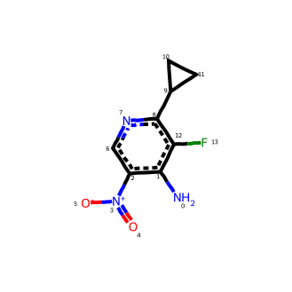 Nc1c([N+](=O)[O-])cnc(C2CC2)c1F